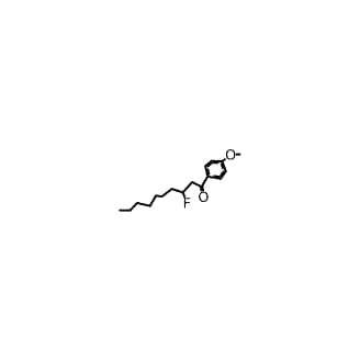 CCCCCCCC(F)CC(=O)c1ccc(OC)cc1